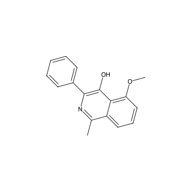 COc1cccc2c(C)nc(-c3ccccc3)c(O)c12